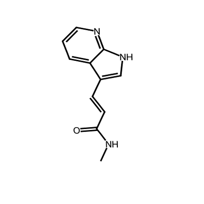 CNC(=O)/C=C/c1c[nH]c2ncccc12